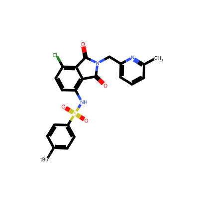 Cc1cccc(CN2C(=O)c3c(Cl)ccc(NS(=O)(=O)c4ccc(C(C)(C)C)cc4)c3C2=O)n1